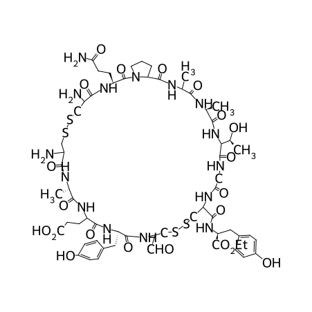 CCOC(=O)[C@H](Cc1ccc(O)cc1)NC(=O)C1CSSCC(C=O)NC(=O)[C@H](Cc2ccc(O)cc2)NC(=O)C(CCC(=O)O)NC(=O)[C@H](C)NC(=O)C(N)CSSCC(N)C(=O)N[C@@H](CCC(N)=O)C(=O)N2CCCC2C(=O)NC(C)C(=O)N[C@@H](C)C(=O)NC([C@H](C)O)C(=O)NCC(=O)N1